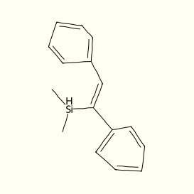 C[SiH](C)C(=Cc1ccccc1)c1ccccc1